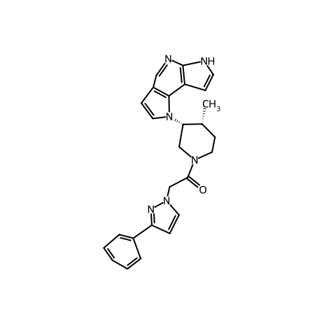 C[C@@H]1CCN(C(=O)Cn2ccc(-c3ccccc3)n2)C[C@@H]1n1ccc2cnc3[nH]ccc3c21